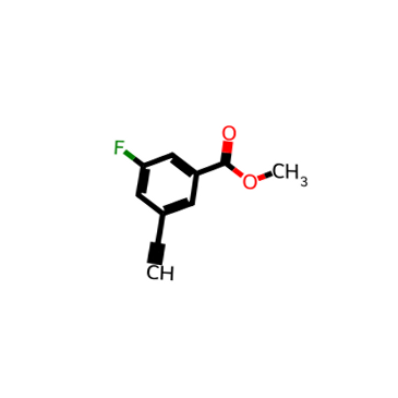 C#Cc1cc(F)cc(C(=O)OC)c1